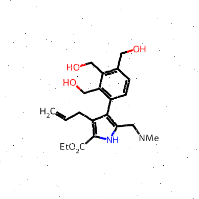 C=CCc1c(C(=O)OCC)[nH]c(CNC)c1-c1ccc(CO)c(CO)c1CO